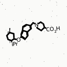 CC(C)[C@@H]1CC[C@@H](C)CC1Oc1ccc2cc(CN3CCC(C(=O)O)CC3)ccc2c1